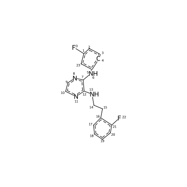 Fc1cccc(Nc2nccnc2NCCc2ccccc2F)c1